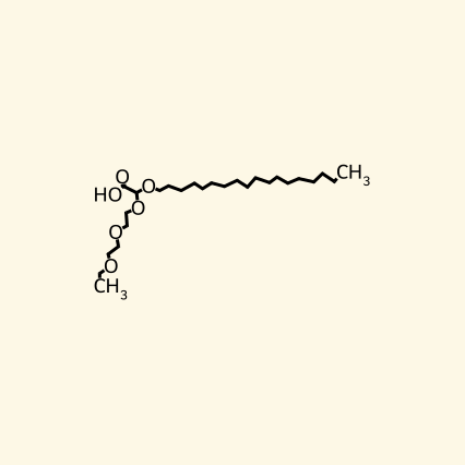 CCCCCCCCCCCCCCCCCCOC(OCCOCCOCC)C(=O)O